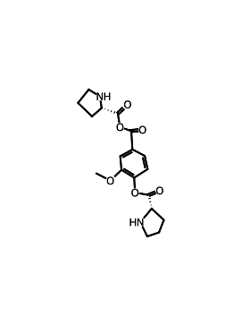 COc1cc(C(=O)OC(=O)[C@@H]2CCCN2)ccc1OC(=O)[C@@H]1CCCN1